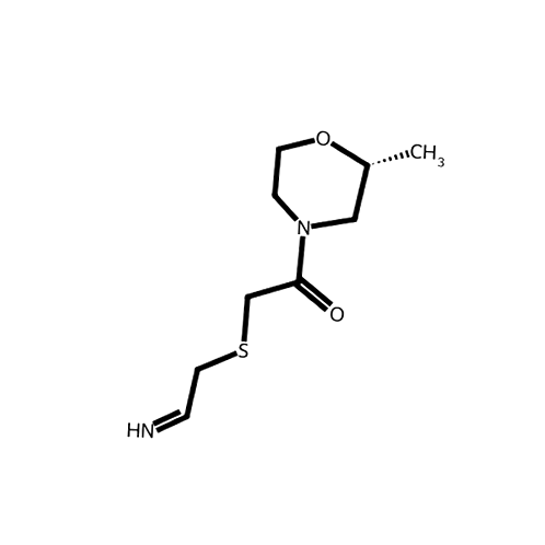 C[C@@H]1CN(C(=O)CSCC=N)CCO1